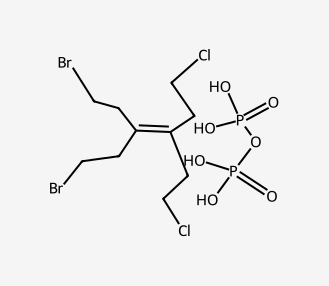 ClCCC(CCCl)=C(CCBr)CCBr.O=P(O)(O)OP(=O)(O)O